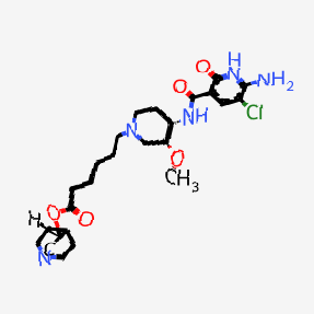 CO[C@@H]1CN(CCCCCC(=O)O[C@H]2CN3CCC2CC3)CC[C@@H]1NC(=O)c1cc(Cl)c(N)[nH]c1=O